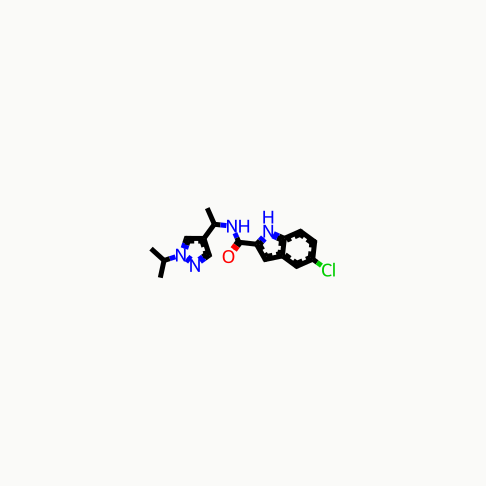 CC(NC(=O)c1cc2cc(Cl)ccc2[nH]1)c1cnn(C(C)C)c1